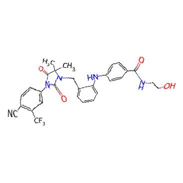 CC1(C)C(=O)N(c2ccc(C#N)c(C(F)(F)F)c2)C(=O)N1Cc1ccccc1Nc1ccc(C(=O)NCCO)cc1